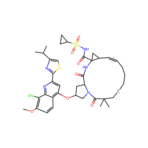 COc1ccc2c(OC3CC4C(=O)NC5(C(=O)NS(=O)(=O)C6CC6)CC5/C=C\CCCCCC(C)(C)C(=O)N4C3)cc(-c3nc(C(C)C)cs3)nc2c1Cl